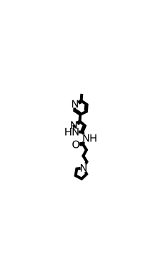 Cc1ccc(-c2cc(NC(=O)CCCN3CCCC3)[nH]n2)cn1